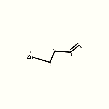 C=CC[CH2][Zn]